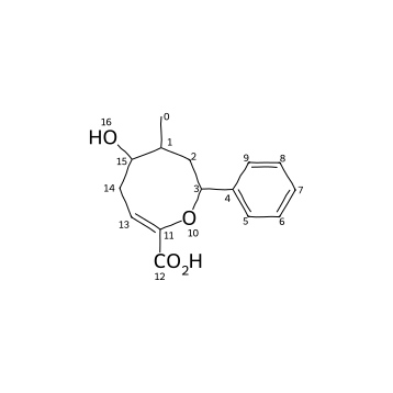 CC1CC(c2ccccc2)OC(C(=O)O)=CCC1O